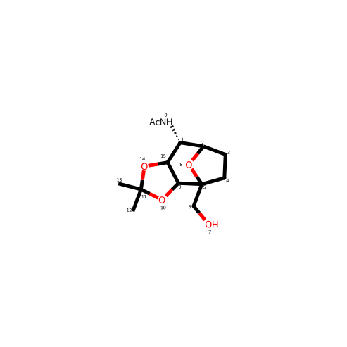 CC(=O)N[C@@H]1C2CCC(CO)(O2)C2OC(C)(C)OC21